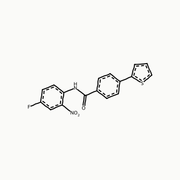 O=C(Nc1ccc(F)cc1[N+](=O)[O-])c1ccc(-c2cccs2)cc1